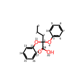 CCCC(Oc1ccccc1)(Oc1ccccc1)C(=O)O